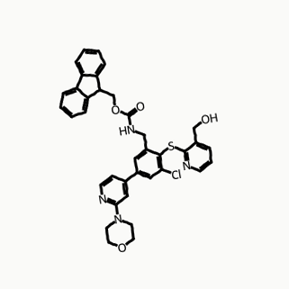 O=C(NCc1cc(-c2ccnc(N3CCOCC3)c2)cc(Cl)c1Sc1ncccc1CO)OCC1c2ccccc2-c2ccccc21